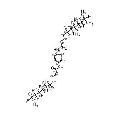 CC(C)(F)C(F)(F)C(F)(F)C(F)(F)C(F)(F)C(F)(F)CCOC(=O)Nc1ccc(NC(=O)OCCC(F)(F)C(F)(F)C(F)(P)C(F)(F)C(F)(P)C(C)(C)F)cc1